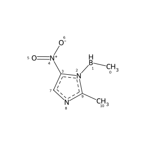 CBn1c([N+](=O)[O-])cnc1C